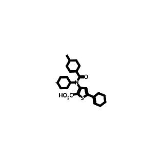 CC1CCC(C(=O)N(c2cc(C3=CCCCC3)sc2C(=O)O)C2CC[CH]CC2)CC1